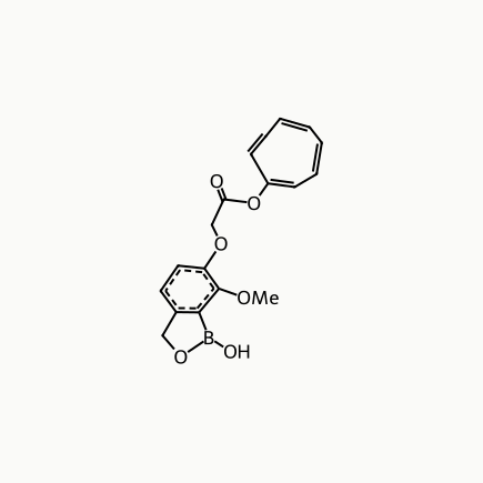 COc1c(OCC(=O)OC2=CC=CC=CC=C2)ccc2c1B(O)OC2